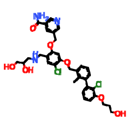 Cc1c(COc2cc(OCc3cncc(C(N)=O)c3)c(CNC[C@@H](O)CO)cc2Cl)cccc1-c1cccc(OCCCO)c1Cl